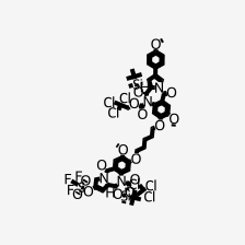 COc1ccc(C2=CN3C(=O)c4cc(OC)c(OCCCCCOc5cc6c(cc5OC)C(=O)N5CC(OS(=O)(=O)C(F)(F)F)=C[C@H]5[C@H](O[Si](C)(C)C(C)(C)C)N6C(=O)OCC(Cl)(Cl)Cl)cc4N(C(=O)OCC(Cl)(Cl)Cl)[C@@H](O[Si](C)(C)C(C)(C)C)[C@@H]3C2)cc1